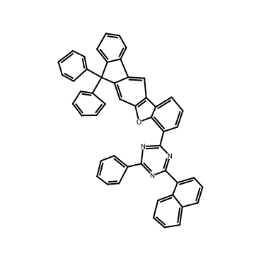 c1ccc(-c2nc(-c3cccc4ccccc34)nc(-c3cccc4c3oc3cc5c(cc34)-c3ccccc3C5(c3ccccc3)c3ccccc3)n2)cc1